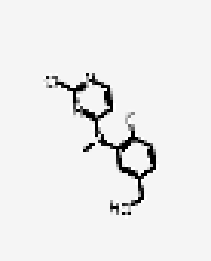 CN(c1ccnc(Cl)n1)c1cc(CO)ccc1F